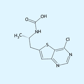 C[C@@H](Cc1cc2ncnc(Cl)c2s1)NC(=O)O